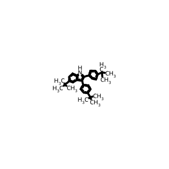 CC(C)(C)c1ccc(-c2[nH]c3ccc(C(C)(C)C)cc3c2-c2ccc(C(C)(C)C)cc2)cc1